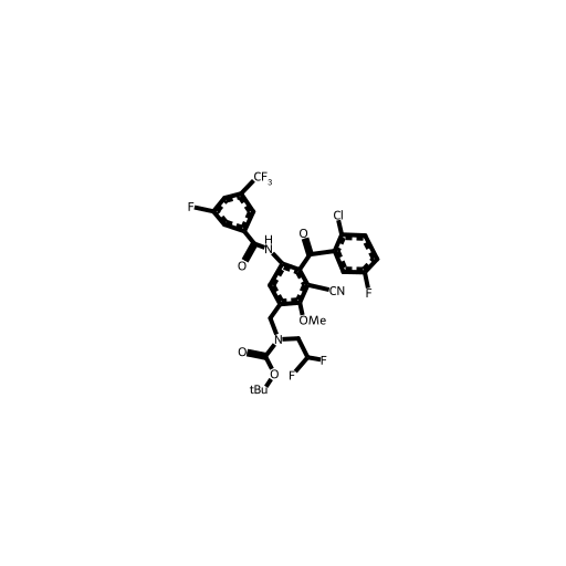 COc1c(CN(CC(F)F)C(=O)OC(C)(C)C)cc(NC(=O)c2cc(F)cc(C(F)(F)F)c2)c(C(=O)c2cc(F)ccc2Cl)c1C#N